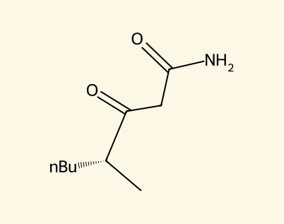 CCCC[C@@H](C)C(=O)CC(N)=O